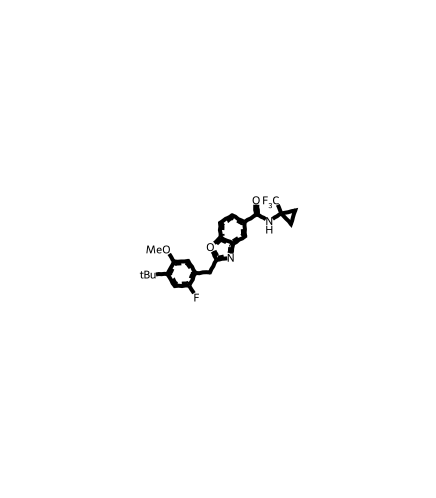 COc1cc(Cc2nc3cc(C(=O)NC4(C(F)(F)F)CC4)ccc3o2)c(F)cc1C(C)(C)C